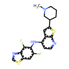 CN1CCCC(c2cc3c(Nc4c(F)cc5scnc5c4F)ccnc3s2)C1